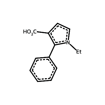 CCn1ccc(C(=O)O)c1-c1ccccc1